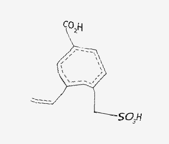 C=Cc1cc(C(=O)O)ccc1CS(=O)(=O)O